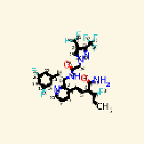 C=C/C(F)=C(\C=C\c1cccnc1[C@H](Cc1cc(F)cc(F)c1)NC(=O)Cn1cc(C(F)F)c(C(F)(F)F)n1)C(N)=O